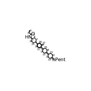 C=CC(=O)NC1CCC(c2ccc(C3CCC(C4CCC(CCCCC)CC4)CC3)c(C)c2)CC1